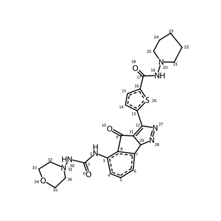 O=C(Nc1cccc2c1C(=O)C1=C(c3ccc(C(=O)NN4CCCCC4)s3)N=NC12)NN1CCOCC1